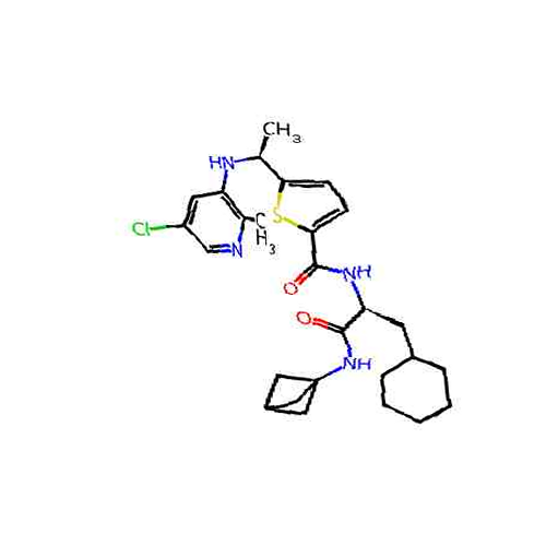 Cc1ncc(Cl)cc1N[C@@H](C)c1ccc(C(=O)N[C@@H](CC2CCCCC2)C(=O)NC23CC(C2)C3)s1